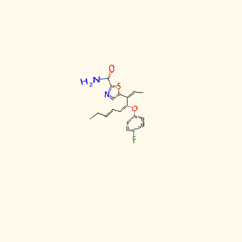 C\C=C(/C(=C\C=C\CC)Oc1ccc(F)cc1)c1cnc(C(N)=O)s1